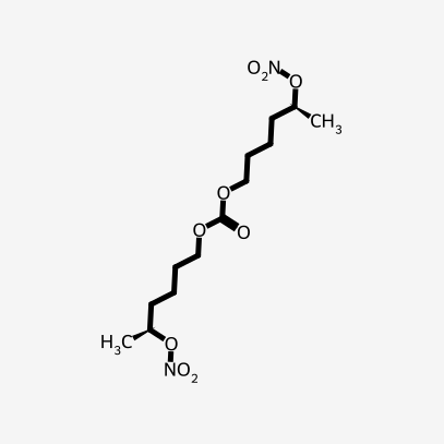 C[C@@H](CCCCOC(=O)OCCCC[C@H](C)O[N+](=O)[O-])O[N+](=O)[O-]